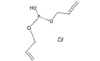 C=CCOP(O)OCC=C.[Cd]